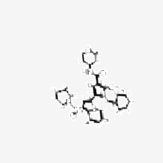 Cc1c(C(=O)NC2CCOCC2)cc(-c2cc([S+]([O-])N3CCCCC3)c3ccccn23)n1CC1CCCCC1